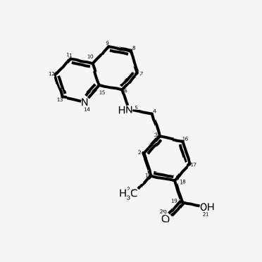 Cc1cc(CNc2cccc3cccnc23)ccc1C(=O)O